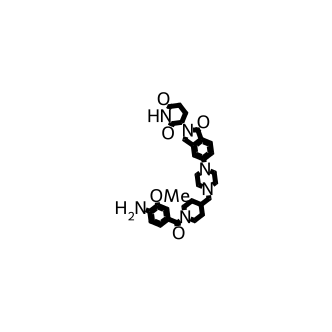 COc1cc(C(=O)N2CCC(CN3CCN(c4ccc5c(c4)CN(C4CCC(=O)NC4=O)C5=O)CC3)CC2)ccc1N